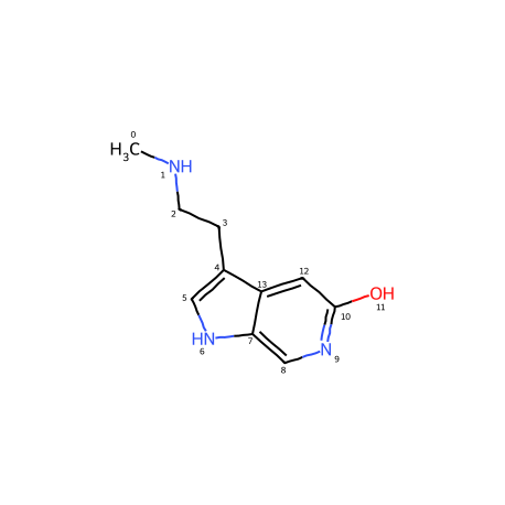 CNCCc1c[nH]c2cnc(O)cc12